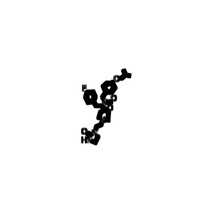 CC(C)COc1ccc(CN2C(=O)OC3(CCN(CCN4CCNC4=O)CC3)C2Cc2ccc(F)cc2)cc1